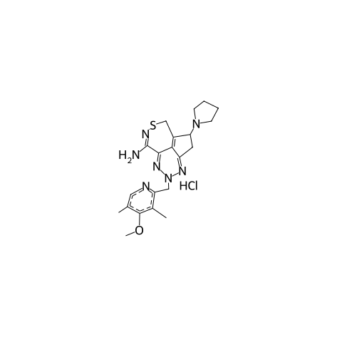 COc1c(C)cnc(CN2N=C3CC(N4CCCC4)C4=C3C(=N2)C(N)=NSC4)c1C.Cl